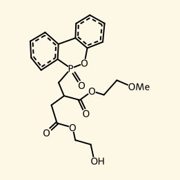 COCCOC(=O)C(CC(=O)OCCO)CP1(=O)Oc2ccccc2-c2ccccc21